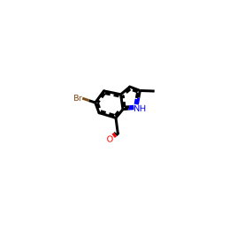 Cc1cc2cc(Br)cc(C=O)c2[nH]1